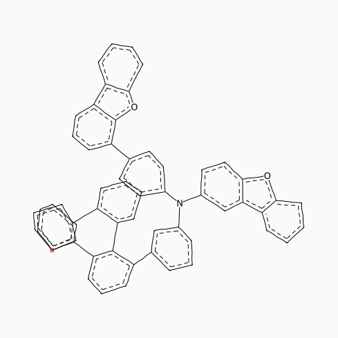 c1ccc(-c2ccccc2-c2c(-c3ccccc3)cccc2-c2cccc(N(c3ccc(-c4cccc5c4oc4ccccc45)cc3)c3ccc4oc5ccccc5c4c3)c2)cc1